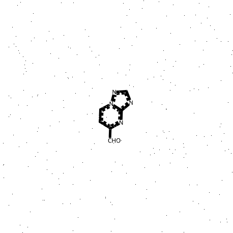 O=[C]c1ccn2ncnc2n1